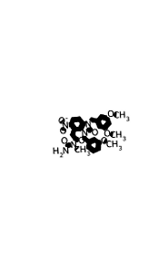 COc1cccc(Cn2c(=O)n(Cc3cc(OC)cc(OC)c3)c3ccc([N+](=O)[O-])c(CC(=O)N(C)C(N)=O)c32)c1